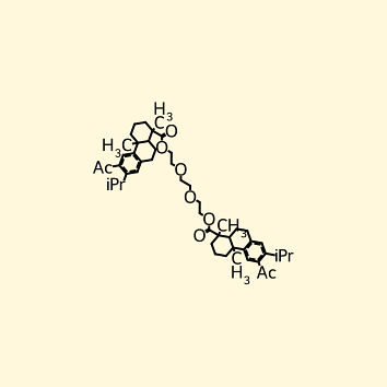 CC(=O)c1cc2c(cc1C(C)C)CCC1C(C)(C(=O)OCCOCCOCCOC(=O)C3(C)CCCC4(C)c5cc(C(C)=O)c(C(C)C)cc5CCC34)CCCC21C